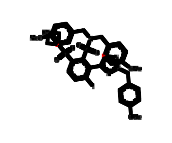 COc1ccc(CN(Cc2ccc(OC)cc2)S(=O)(=O)c2c(S(=O)(=O)C3CNC3)ccc(I)c2-c2nnn(Cc3ccc(OC)cc3)n2)cc1